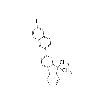 CC1(C)C2=C(CCC=C2)C2=CC=C(c3ccc4cc(I)ccc4c3)CC21